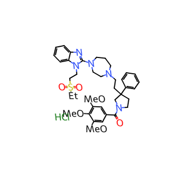 CCS(=O)(=O)CCn1c(N2CCCN(CCC3(c4ccccc4)CCN(C(=O)c4cc(OC)c(OC)c(OC)c4)C3)CC2)nc2ccccc21.Cl